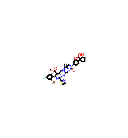 COC(=O)C1=C(CN2CCN3C(=O)N(c4ccc(C5(C(=O)O)CCCC5)cc4)C[C@@H]3C2)NC(c2nccs2)=N[C@H]1c1ccc(F)cc1Br